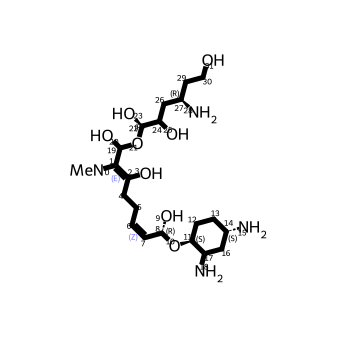 CN/C(=C(/O)CC/C=C\[C@H](O)O[C@H]1CC[C@H](N)CC1N)C(O)O[C@@H](O)C(O)C[C@H](N)CCO